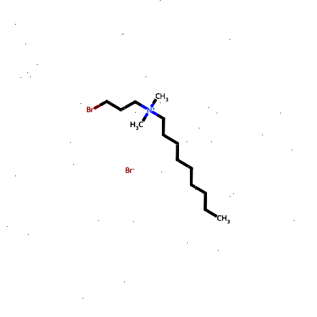 CCCCCCCCC[N+](C)(C)CCCBr.[Br-]